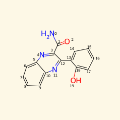 NC(=O)c1nc2ccccc2nc1-c1ccccc1O